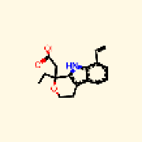 C=Cc1cccc2c3c([nH]c12)C(CC)(CC(=O)O)OCC3